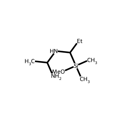 CCC(NC(C)N)[Si](C)(C)OC